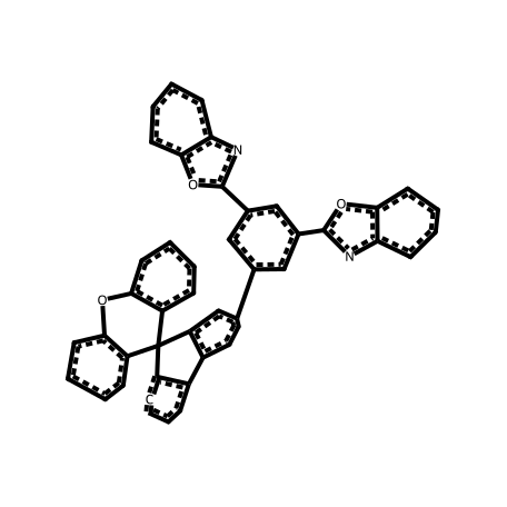 c1ccc2c(c1)Oc1ccccc1C21c2ccccc2-c2ccc(-c3cc(-c4nc5ccccc5o4)cc(-c4nc5ccccc5o4)c3)cc21